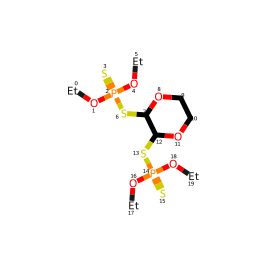 CCOP(=S)(OCC)SC1OCCOC1SP(=S)(OCC)OCC